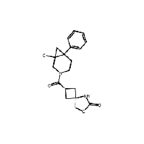 O=C1N[C@]2(CO1)C[C@H](C(=O)N1CCC3(c4ccccc4)CC3(Cl)C1)C2